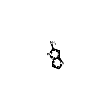 Nc1cc2nccn2[nH]1